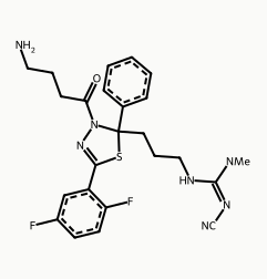 CN/C(=N/C#N)NCCCC1(c2ccccc2)SC(c2cc(F)ccc2F)=NN1C(=O)CCCN